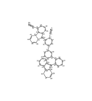 N#Cc1ccc(-c2cccc(-c3ccccc3-n3c4c(c5ccccc53)CCC=C4)c2)cc1N1c2cccc(C#N)c2C2C=CC=CC21